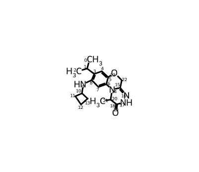 CC(C)c1cc2c(cc1NC1CCC1)N1C(=NNC(=O)C1C)CO2